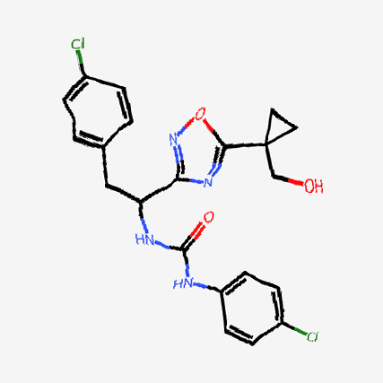 O=C(Nc1ccc(Cl)cc1)NC(Cc1ccc(Cl)cc1)c1noc(C2(CO)CC2)n1